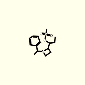 CCC(OS(C)(=O)=O)C1CCN1C(C)c1ccccc1